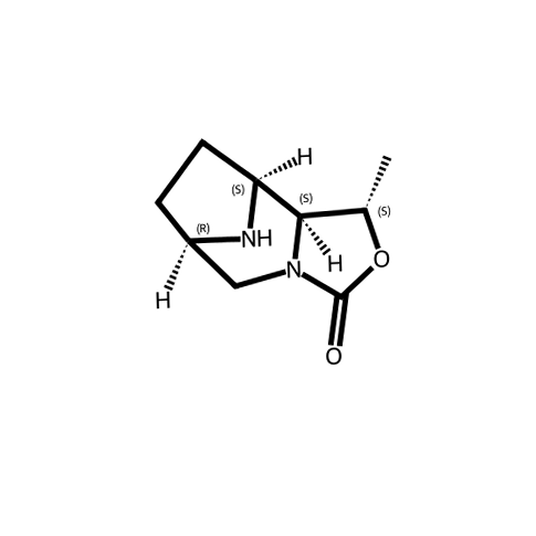 C[C@@H]1OC(=O)N2C[C@H]3CC[C@H](N3)[C@@H]12